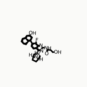 O=C(CCO)Nc1nc(N2C[C@H]3CC[C@@H](C2)N3)c2ccc(-c3cc(O)cc4ccccc34)c(F)c2n1